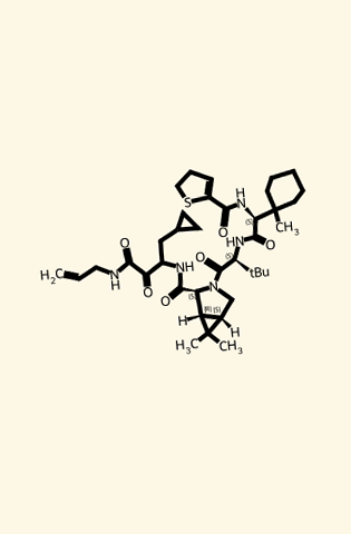 C=CCNC(=O)C(=O)C(CC1CC1)NC(=O)[C@@H]1[C@@H]2[C@H](CN1C(=O)[C@@H](NC(=O)[C@@H](NC(=O)C1=CCCS1)C1(C)CCCCC1)C(C)(C)C)C2(C)C